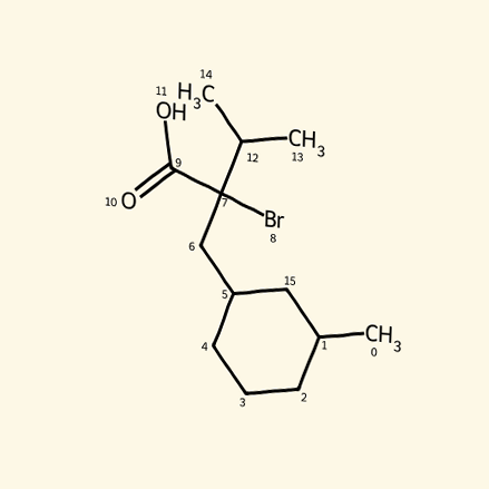 CC1CCCC(CC(Br)(C(=O)O)C(C)C)C1